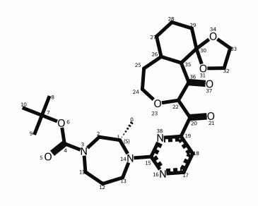 C[C@H]1CN(C(=O)OC(C)(C)C)CCCN1c1nccc(C(=O)C2OCCC3CCCC4(OCCO4)C3C2=O)n1